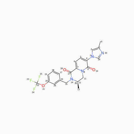 Cc1cn(-c2ccc3n(c2=O)C[C@@H](C)N(Cc2cccc(OC(F)(F)F)c2)C3=O)cn1